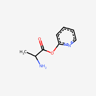 CC(N)C(=O)Oc1ccccn1